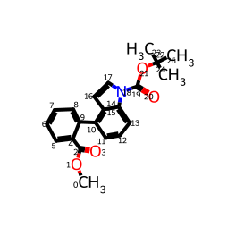 COC(=O)c1ccccc1-c1cccc2c1ccn2C(=O)OC(C)(C)C